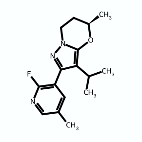 Cc1cnc(F)c(-c2nn3c(c2C(C)C)O[C@H](C)CC3)c1